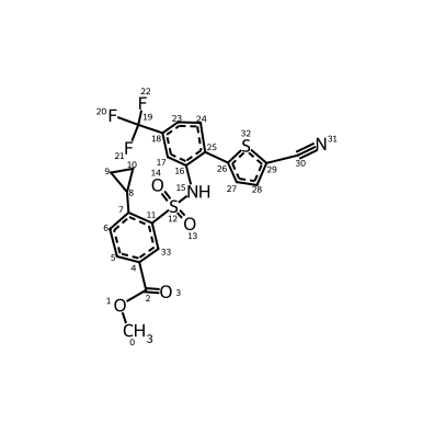 COC(=O)c1ccc(C2CC2)c(S(=O)(=O)Nc2cc(C(F)(F)F)ccc2-c2ccc(C#N)s2)c1